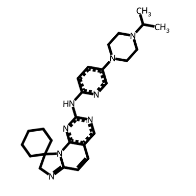 CC(C)N1CCN(c2ccc(Nc3ncc4c(n3)N3C(=NCC35CCCCC5)C=C4)nc2)CC1